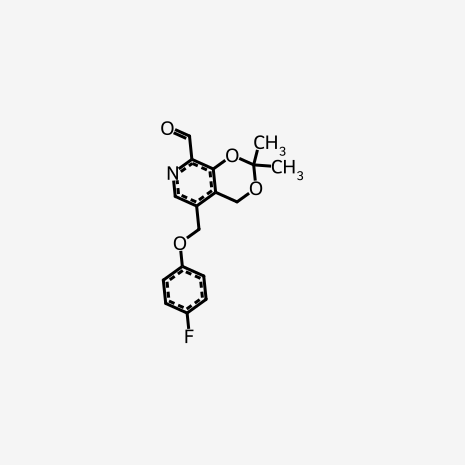 CC1(C)OCc2c(COc3ccc(F)cc3)cnc(C=O)c2O1